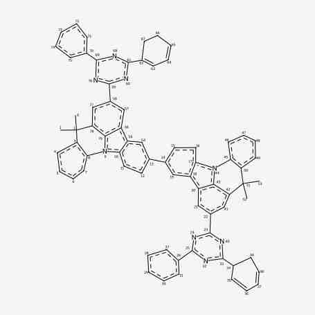 CC1(C)c2ccccc2-n2c3ccc(-c4ccc5c(c4)c4cc(-c6nc(-c7ccccc7)nc(C7C=CC=CC7)n6)cc6c4n5-c4ccccc4C6(C)C)cc3c3cc(-c4nc(C5=CC=CCC5)nc(-c5ccccc5)n4)cc1c32